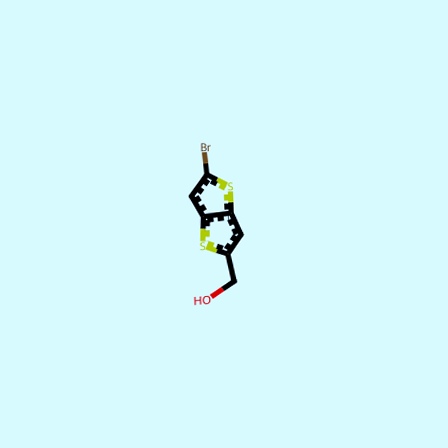 OCc1cc2sc(Br)cc2s1